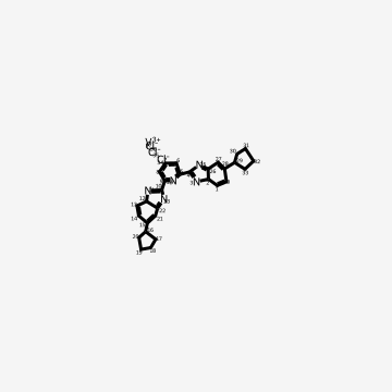 C1=CC2N=C(c3cccc(C4=NC5C=CC(C6CCCC6)=CC5=N4)n3)N=C2C=C1C1CCCC1.[Cl-].[Cl-].[Cl-].[V+3]